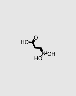 O=C(O)CC=[N+](O)O